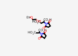 CCOCCO.O=C(O)CC(C(=O)O)N1C(=O)CCC1=O.O=C(O)CC(C(=O)O)N1C(=O)CCC1=O